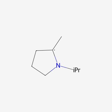 C[C]1CCCN1C(C)C